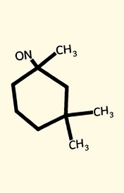 CC1(C)CCCC(C)(N=O)C1